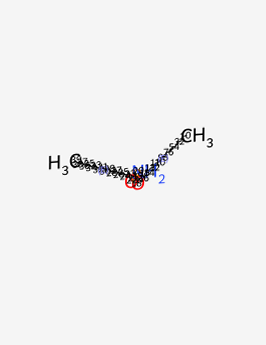 CCCCCCCC/C=C/CCCCCCCC(=O)P(N)C(=O)CCCCCCC/C=C/CCCCCCCC